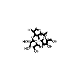 CC(CO)OC(OC1C(O)COC(C(C)C)C1OC1OC(CO)C(O)C1O)[C@@H](O)CO